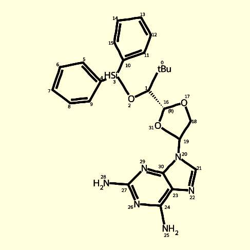 CC(C)(C)C(O[SiH](c1ccccc1)c1ccccc1)[C@@H]1OCC(n2cnc3c(N)nc(N)nc32)O1